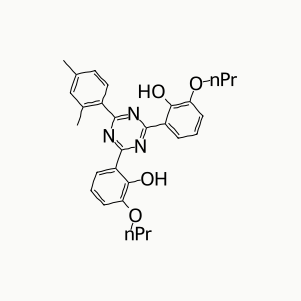 CCCOc1cccc(-c2nc(-c3ccc(C)cc3C)nc(-c3cccc(OCCC)c3O)n2)c1O